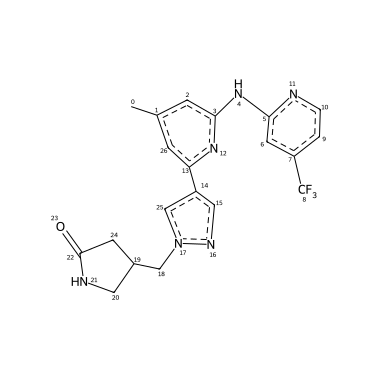 Cc1cc(Nc2cc(C(F)(F)F)ccn2)nc(-c2cnn(CC3CNC(=O)C3)c2)c1